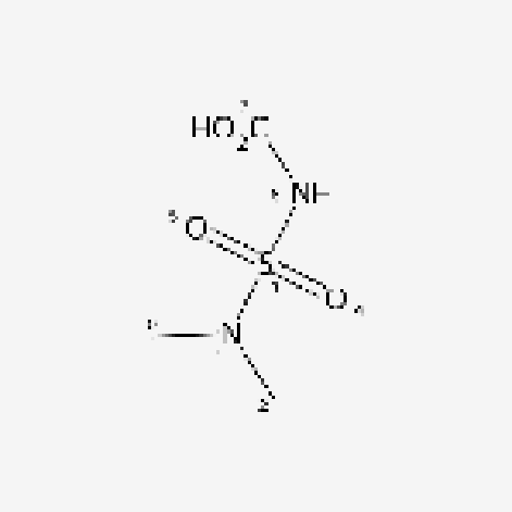 CN(C)S(=O)(=O)NC(=O)O